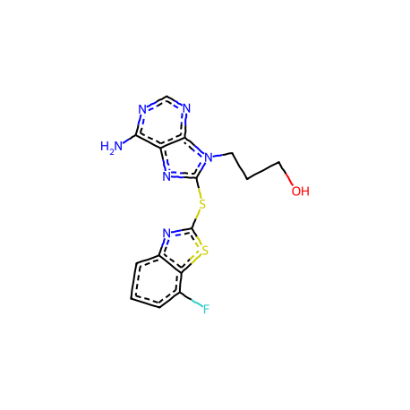 Nc1ncnc2c1nc(Sc1nc3cccc(F)c3s1)n2CCCO